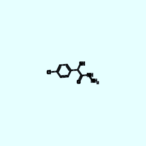 NNC(=O)C(S)c1ccc(Cl)cc1